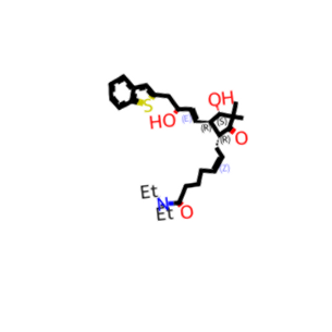 CCN(CC)C(=O)CCC/C=C\C[C@H]1C(=O)C(C)(C)[C@@H](O)[C@@H]1/C=C/C(O)Cc1cc2ccccc2s1